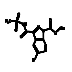 CC(C)(C)OC(=O)n1nc(C(=O)NS(C)(=O)=O)c2cc(Br)ccc21